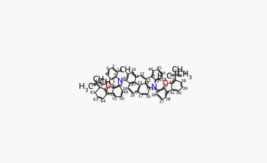 Cc1ccccc1N(c1ccc2cc3c4c(ccc5ccc1c2c54)N(c1cccc2c1oc1c(C(C)(C)C)cccc12)c1ccccc1-3)c1cccc2c3c(oc12)C(C(C)(C)C)CC=C3